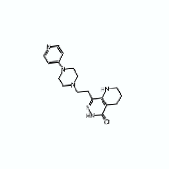 O=c1[nH]nc(CCN2CCN(c3ccncc3)CC2)c2c1CCCN2